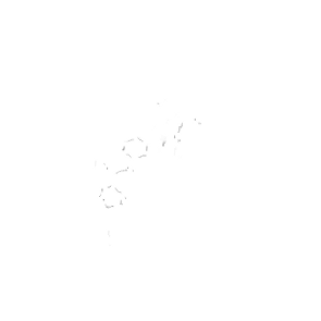 C[C@@]1(c2cc3c(cc2F)CNC(c2cnc(OCC(F)(F)C(F)(F)F)cn2)=N3)C[C@@H](C(F)(F)F)OC(N)=N1